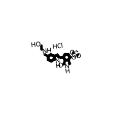 CS(=O)(=O)Oc1ccc(-c2cc3cc(CNCCO)ccc3[nH]2)c2c1CNC2=O.Cl